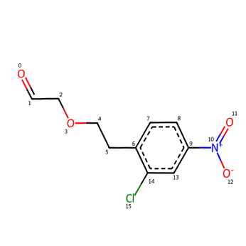 O=CCOCCc1ccc([N+](=O)[O-])cc1Cl